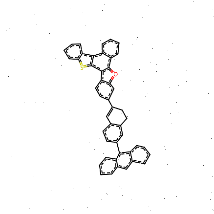 C1=C(c2ccc3c(c2)oc2c4ccccc4c4c5ccccc5sc4c32)CCc2cc(-c3c4ccccc4cc4ccccc34)ccc21